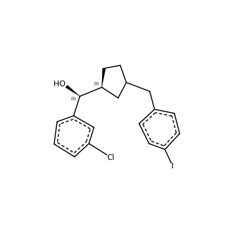 O[C@H](c1cccc(Cl)c1)[C@H]1CCC(Cc2ccc(I)cc2)C1